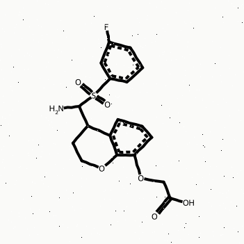 NC(C1CCOc2c(OCC(=O)O)cccc21)S(=O)(=O)c1cccc(F)c1